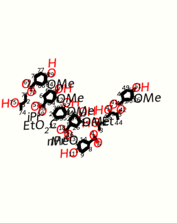 CCC(O)COC(=O)c1ccc(O)c(OC)c1.CCCOC(=O)c1ccc(O)c(OC)c1.CCOC(=O)c1ccc(O)c(OC)c1.COc1cc(C(=O)OC(C)C(C)O)ccc1O.COc1cc(C(=O)OC(C)C)ccc1O.COc1cc(C(=O)OCCC(C)O)ccc1O